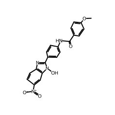 COc1ccc(C(=O)Nc2ccc(-c3nc4ccc([N+](=O)[O-])cc4n3O)cc2)cc1